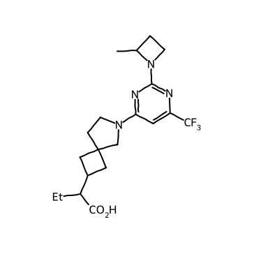 CCC(C(=O)O)C1CC2(CCN(c3cc(C(F)(F)F)nc(N4CCC4C)n3)C2)C1